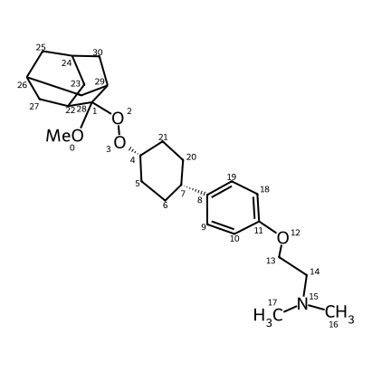 COC1(OO[C@H]2CC[C@@H](c3ccc(OCCN(C)C)cc3)CC2)C2CC3CC(C2)CC1C3